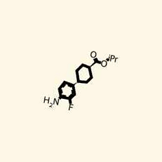 CC(C)OC(=O)[C@H]1CC[C@H](c2ccc(N)c(F)c2)CC1